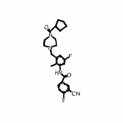 Cc1c(CN2CCN(C(=O)C3CCCC3)CC2)cc(F)cc1NC(=O)c1ccc(F)c(C#N)c1